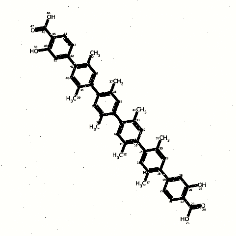 Cc1cc(-c2cc(C)c(-c3cc(C)c(-c4cc(C)c(-c5ccc(C(=O)O)c(O)c5)cc4C)cc3C)cc2C)c(C)cc1-c1ccc(C(=O)O)c(O)c1